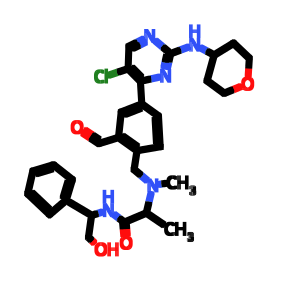 CC(C(=O)NC(CO)c1ccccc1)N(C)Cc1ccc(-c2nc(NC3CCOCC3)ncc2Cl)cc1C=O